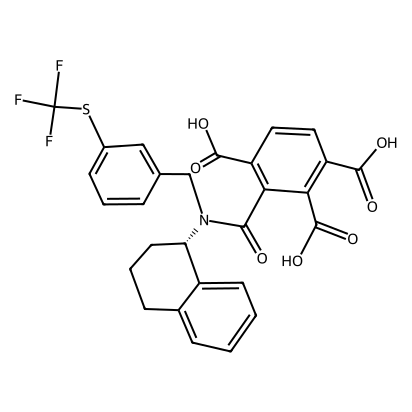 O=C(O)c1ccc(C(=O)O)c(C(=O)N(Cc2cccc(SC(F)(F)F)c2)[C@H]2CCCc3ccccc32)c1C(=O)O